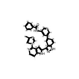 Cc1cn(-c2nccc3[nH]c(-c4n[nH]c5ccc(-c6cncc(NC(=O)c7ccccc7)c6)cc45)cc23)cn1